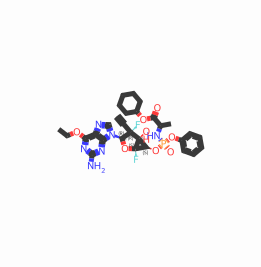 C#C[C@]1(F)[C@H](n2cnc3c(OCC)nc(N)nc32)O[C@]2(F)[C@@H](OP(=O)(NC(C)C(=O)OC3CCCCC3)Oc3ccccc3)[C@]12O